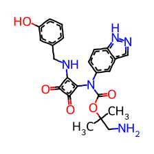 CC(C)(CN)OC(=O)N(c1ccc2[nH]ncc2c1)c1c(NCc2cccc(O)c2)c(=O)c1=O